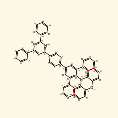 c1ccc(-c2cc(-c3ccc(-c4cc(-c5ccccc5)c(N5c6ccccc6Oc6ccccc65)c(-c5ccccc5)c4)cc3)nc(-c3ccccc3)n2)cc1